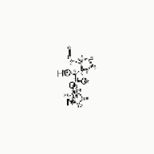 C#CCc1ccccc1C(O)C(=O)OC1CN2CCC1CC2